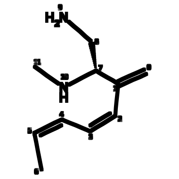 C=C(/C=C\C=C/C)[C@@H](CN)NC